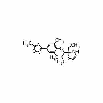 CCC(Oc1c(C)cc(-c2noc(C)n2)cc1C)C1(CC)NC=CS1